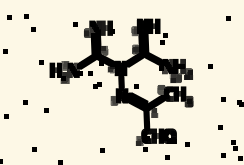 CC(C=O)=NN(C(=N)N)C(=N)N